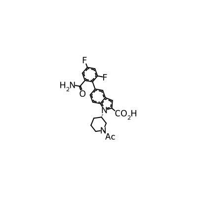 CC(=O)N1CCC[C@H](n2c(C(=O)O)cc3cc(-c4c(F)cc(F)cc4C(N)=O)ccc32)C1